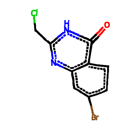 O=c1[nH]c(CCl)nc2cc(Br)ccc12